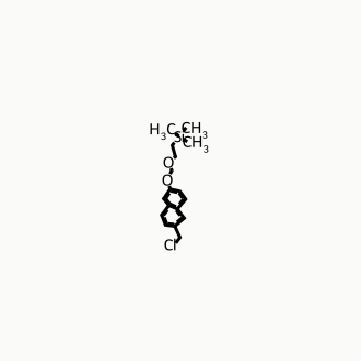 C[Si](C)(C)CCOCOc1ccc2cc(CCl)ccc2c1